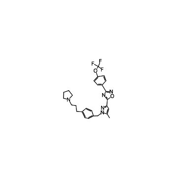 Cc1cc(-c2nc(-c3ccc(OC(F)(F)F)cc3)no2)nn1Cc1ccc(CCCN2CCCC2)cc1